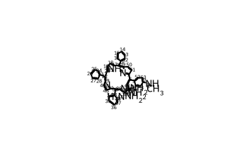 CNc1ccc(-c2c3nc(c(-c4ccccc4)c4ccc([nH]4)c(-c4ccccc4)c4nc(c(-c5ccccc5)c5[nH]c2C(N)(N)C5(N)N)C=C4)C=C3)cc1